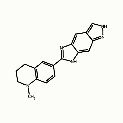 CN1CCCc2cc(-c3nc4cc5c[nH]nc5cc4[nH]3)ccc21